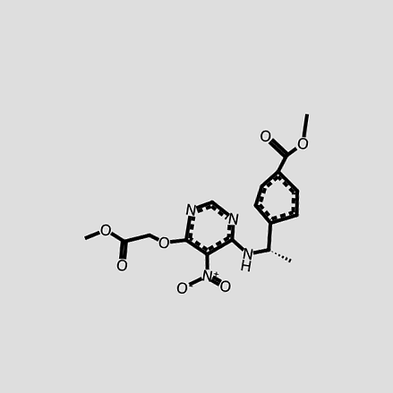 COC(=O)COc1ncnc(N[C@@H](C)c2ccc(C(=O)OC)cc2)c1[N+](=O)[O-]